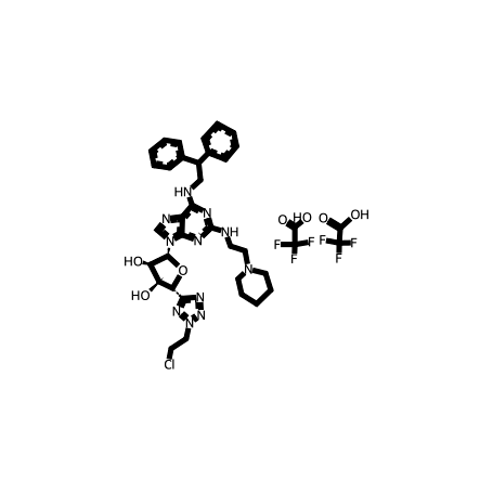 O=C(O)C(F)(F)F.O=C(O)C(F)(F)F.O[C@@H]1[C@H](O)[C@@H](c2nnn(CCCl)n2)O[C@H]1n1cnc2c(NCC(c3ccccc3)c3ccccc3)nc(NCCN3CCCCC3)nc21